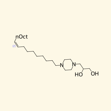 CCCCCCCC/C=C\CCCCCCCCN1CCN(CC(O)CO)CC1